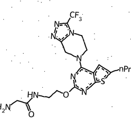 CCCc1cc2c(N3CCn4c(nnc4C(F)(F)F)C3)nc(OCCNC(=O)CN)nc2s1